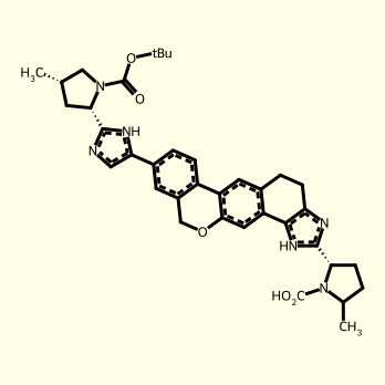 CC1CC[C@@H](c2nc3c([nH]2)-c2cc4c(cc2CC3)-c2ccc(-c3cnc([C@@H]5C[C@H](C)CN5C(=O)OC(C)(C)C)[nH]3)cc2CO4)N1C(=O)O